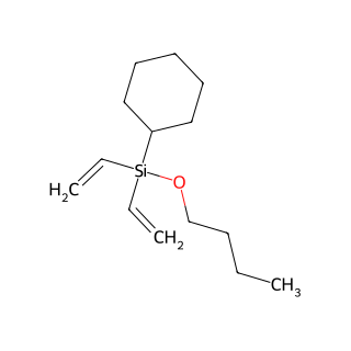 C=C[Si](C=C)(OCCCC)C1CCCCC1